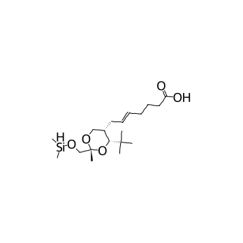 C[SiH](C)OC[C@]1(C)OC[C@H](CC=CCCCC(=O)O)[C@H](C(C)(C)C)O1